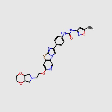 CC(C)(C)c1cc(NC(=O)Nc2ccc(-c3cn4c(n3)sc3cc(OCCN5CC6OCCOC6C5)ncc34)cc2)no1